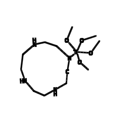 C[O][Ti]([O]C)([O]C)([O]C)[N]1CCNCCNCCNCC1